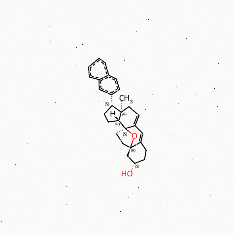 C[C@]12CC=C3C=C4CC[C@H](O)C[C@]45CC[C@]3(O5)[C@@H]1CC[C@@H]2c1ccc2ccccc2c1